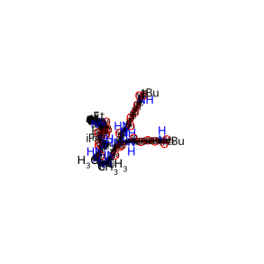 CCc1c2c(nc3ccccc13)-c1cc3c(c(=O)n1C2)COC(=O)[C@@]3(CC)OC(=O)[C@@H](NC(=O)[C@@H]1CCCN1C(=O)CNC(=O)CN(C)CCN(C)CCN(C)CCNC(=O)CCCC(=O)N[C@@H](CCC(=O)NCCNC(=O)CCOCCOCCOCCNC(=O)OC(C)(C)C)C(=O)NCCNC(=O)CCOCCOCCOCCNC(=O)OC(C)(C)C)C(C)C